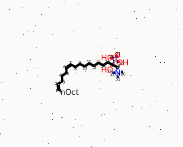 CCCCCCCC/C=C\CCC/C=C\CCCCCCCCC(O)(C[N+](C)(C)C)P(=O)(O)O